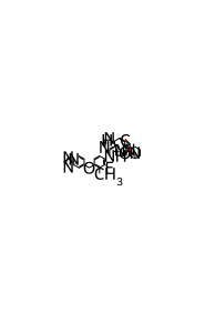 C=CC(=O)N1C2CC1CN(c1ccc3ncnc(Nc4ccc(Oc5ccn6ncnc6c5)c(C)c4F)c3n1)C2